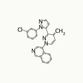 C=C1C=CN(c2cncc3ccccc23)N=C1c1ccnn1-c1cccc(Cl)c1